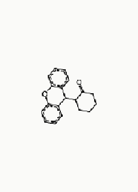 O=C1CCCCC1C1c2ccccc2Oc2ccccc21